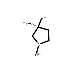 CCCN1CC[C@](C)(O)C1